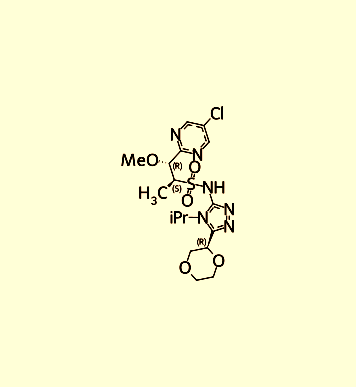 CO[C@H](c1ncc(Cl)cn1)[C@H](C)S(=O)(=O)Nc1nnc([C@@H]2COCCO2)n1C(C)C